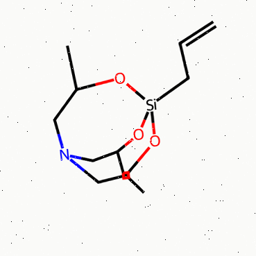 C=CC[Si]12OC(C)CN(CC(C)O1)CC(C)O2